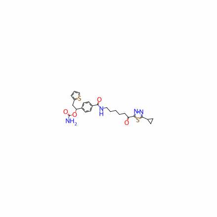 NC(=O)OC(Cc1cccs1)c1ccc(C(=O)NCCCCCC(=O)c2nnc(C3CC3)s2)cc1